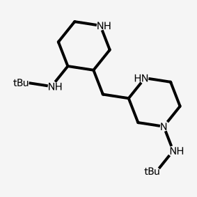 CC(C)(C)NC1CCNCC1CC1CN(NC(C)(C)C)CCN1